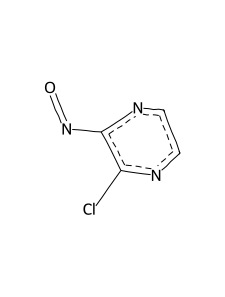 O=Nc1nccnc1Cl